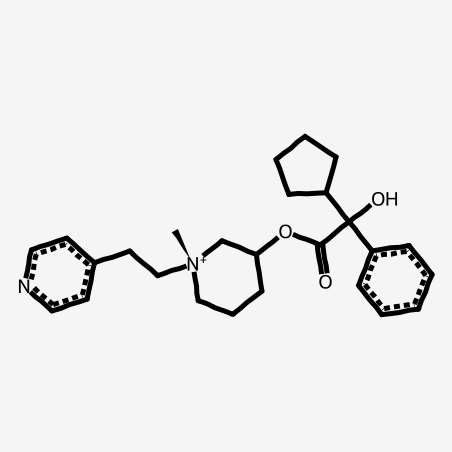 C[N@+]1(CCc2ccncc2)CCCC(OC(=O)C(O)(c2ccccc2)C2CCCC2)C1